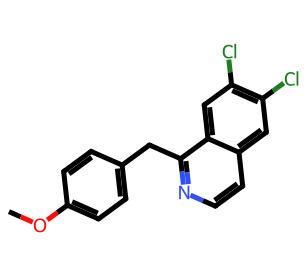 COc1ccc(Cc2nccc3cc(Cl)c(Cl)cc23)cc1